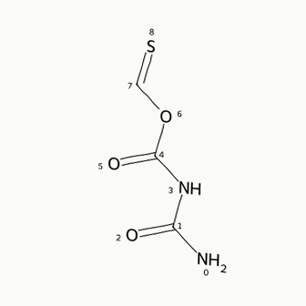 NC(=O)NC(=O)OC=S